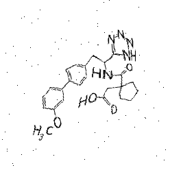 COc1cccc(-c2ccc(C[C@H](NC(=O)C3(CC(=O)O)CCCC3)c3nnn[nH]3)cc2)c1